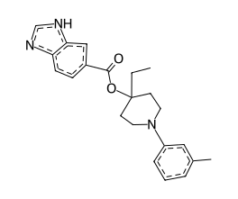 CCC1(OC(=O)c2ccc3nc[nH]c3c2)CCN(c2cccc(C)c2)CC1